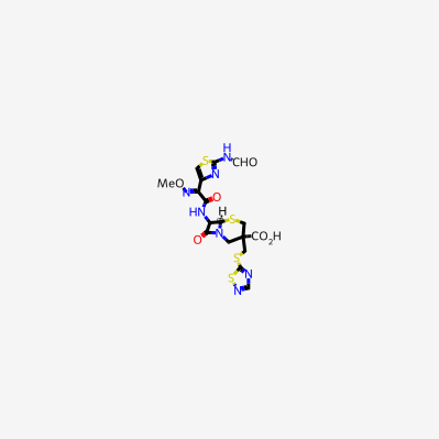 CON=C(C(=O)NC1C(=O)N2CC(CSc3ncns3)(C(=O)O)CS[C@H]12)c1csc(NC=O)n1